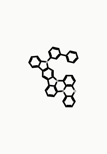 c1ccc(-c2cccc(-n3c4ccccc4c4cc5c6cccc7c6n(c5cc43)-c3cccc4c3B7c3ccccc3O4)c2)cc1